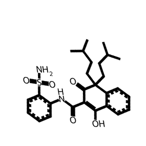 CC(C)CCC1(CCC(C)C)C(=O)C(C(=O)Nc2ccccc2S(N)(=O)=O)=C(O)c2ccccc21